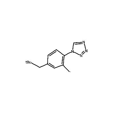 [CH2]c1cc(CC(C)(C)C)ccc1-n1cnnn1